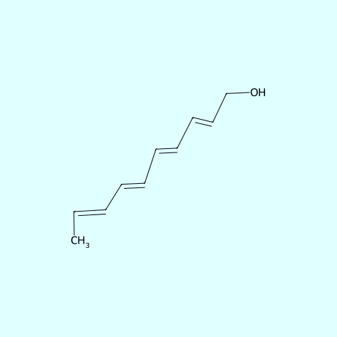 CC=CC=CC=CC=CCO